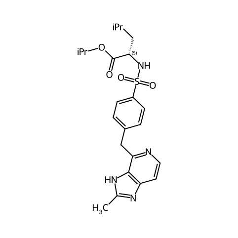 Cc1nc2ccnc(Cc3ccc(S(=O)(=O)N[C@@H](CC(C)C)C(=O)OC(C)C)cc3)c2[nH]1